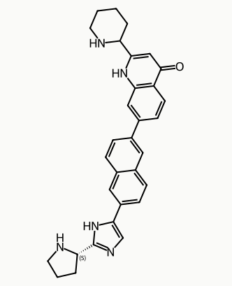 O=c1cc(C2CCCCN2)[nH]c2cc(-c3ccc4cc(-c5cnc([C@@H]6CCCN6)[nH]5)ccc4c3)ccc12